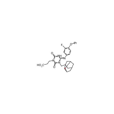 CC(C)Oc1ccc(/N=c2\[nH]c(=O)n(CCC(=O)O)c(=O)n2CC23CC4CC(CC(C4)C2)C3)cc1F